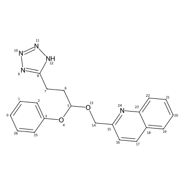 c1ccc(OC(CCc2nnn[nH]2)OCc2ccc3ccccc3n2)cc1